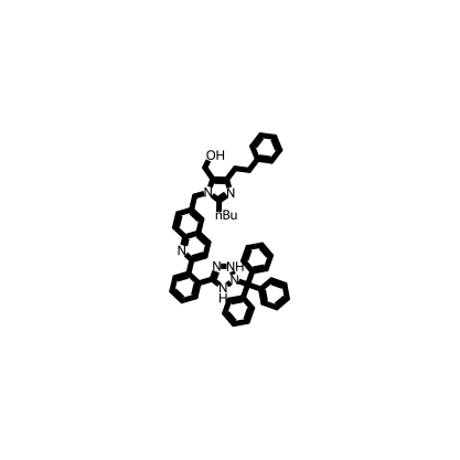 CCCCc1nc(CCc2ccccc2)c(CO)n1Cc1ccc2nc(-c3ccccc3C3=NNN(C(c4ccccc4)(c4ccccc4)c4ccccc4)N3)ccc2c1